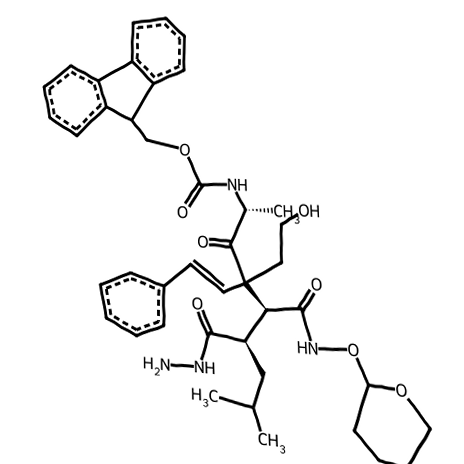 CC(C)C[C@@H](C(=O)NN)[C@H](C(=O)NOC1CCCCO1)C(/C=C/c1ccccc1)(CCO)C(=O)[C@@H](C)NC(=O)OCC1c2ccccc2-c2ccccc21